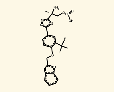 C[C@](N)(CO[PH](=O)O)c1nnc(-c2ccc(OCc3cc4ccccc4o3)c(C(F)(F)F)c2)s1